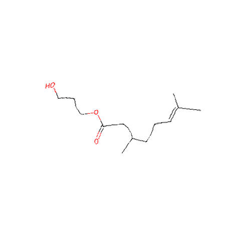 CC(C)=CCCC(C)CC(=O)OCCCO